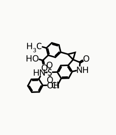 Cc1ccc(C2CC23C(=O)Nc2cc(Cl)c(S(=O)(=O)Nc4ccccc4O)cc23)cc1C(=O)O